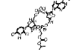 CC(C)OC(=O)OCSP1(=O)OC[C@@H]2C[C@@H](OP(=O)(O)OC[C@H]3O[C@@H](n4ccc(=O)[nH]c4=O)[C@H](F)[C@@H]3O1)[C@H](n1cnc3c(N)ncnc31)O2